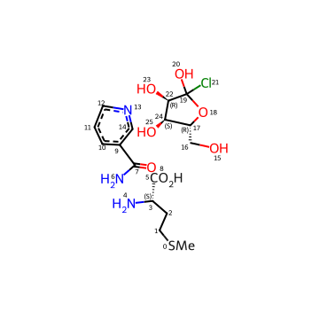 CSCC[C@H](N)C(=O)O.NC(=O)c1cccnc1.OC[C@H]1OC(O)(Cl)[C@H](O)[C@@H]1O